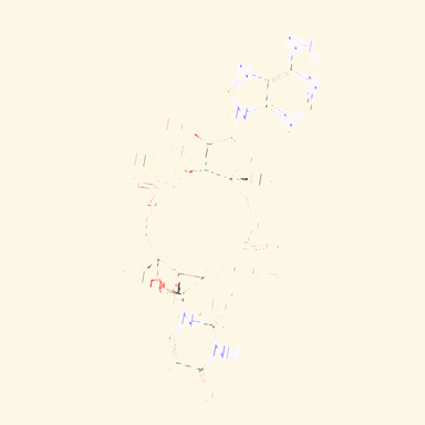 Nc1ncnc2c1ncn2[C@@H]1O[C@@H]2COP(=O)(O)O[C@@H]3[C@H](O)[C@@H](COP(=O)(S)O[C@H]2[C@H]1O)O[C@H]3n1ccc(=O)[nH]c1=O